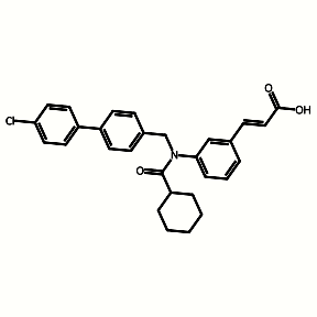 O=C(O)C=Cc1cccc(N(Cc2ccc(-c3ccc(Cl)cc3)cc2)C(=O)C2CCCCC2)c1